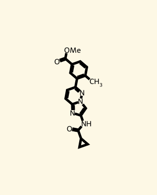 COC(=O)c1ccc(C)c(-c2ccc3nc(NC(=O)C4CC4)cn3n2)c1